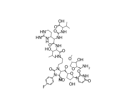 CO[C@H]1[C@@H](OC(C2C(=O)N(c3ccc(F)cc3)C(=O)N2CCCNC(=O)C(NC(=O)C(NC(=O)NC(C(=O)O)C(C)C)C2CCNC(=N)N2)C(O)C(C)C)[C@H]2O[C@@H](n3ccc(=O)[nH]c3=O)[C@H](O)[C@@H]2O)O[C@H](CN)[C@@H]1O